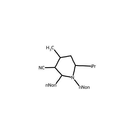 CCCCCCCCCC1C(C#N)C(C)CC(C(C)C)N1CCCCCCCCC